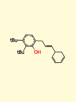 CC(C)(C)c1ccc(CC=CC2C=CC=CC2)c(O)c1C(C)(C)C